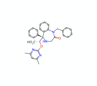 Cc1cc(C)nc(O[C@H](C(=O)O)[C@@]2(c3ccccc3)NCC(=O)N(Cc3ccccc3)c3ccccc32)n1